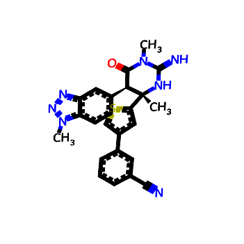 CN1C(=N)N[C@](C)(c2cc(-c3cccc(C#N)c3)cs2)[C@@H](c2ccc3c(c2)nnn3C)C1=O